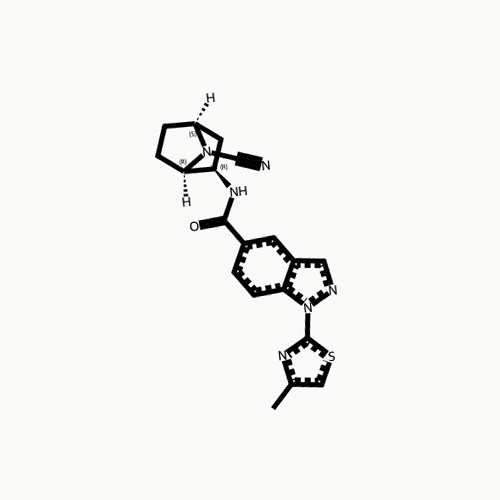 Cc1csc(-n2ncc3cc(C(=O)N[C@@H]4C[C@@H]5CC[C@H]4N5C#N)ccc32)n1